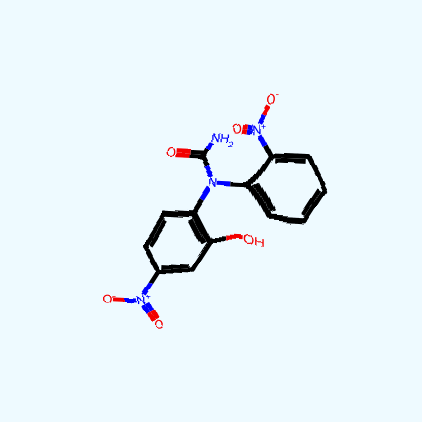 NC(=O)N(c1ccc([N+](=O)[O-])cc1O)c1ccccc1[N+](=O)[O-]